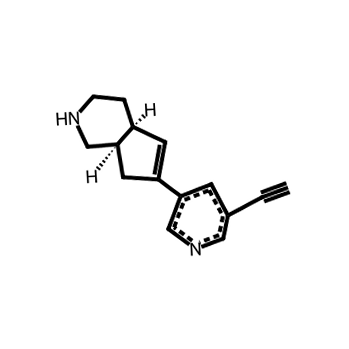 C#Cc1cncc(C2=C[C@@H]3CCNC[C@@H]3C2)c1